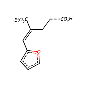 CCOC(=O)/C(=C/c1ccco1)CCC(=O)O